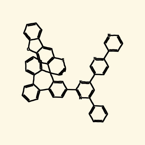 c1ccc(-c2cc(-c3ccc(-c4cccnc4)nc3)nc(-c3ccc4c(c3)C3(c5ccccc5Sc5cc6c(cc53)oc3ccccc36)c3ccccc3-c3ccccc3-4)n2)cc1